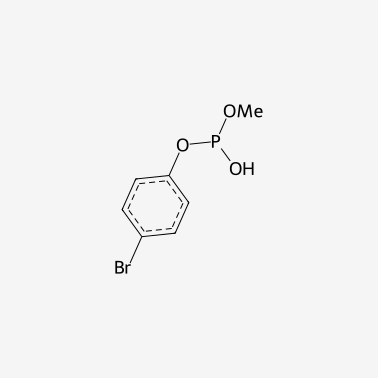 COP(O)Oc1ccc(Br)cc1